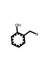 [N]Cc1ccccc1O